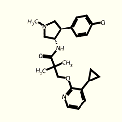 CN1C[C@@H](NC(=O)C(C)(C)COc2ncccc2C2CC2)[C@H](c2ccc(Cl)cc2)C1